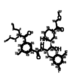 CCCN(CCC)C(=O)c1cc(C)cc(C(=O)N[C@@H](Cc2cc(F)cc(F)c2)C(O)[C@H]2CN(C(=O)COC)CCN2)c1